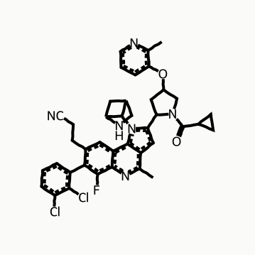 Cc1ncccc1OC1CC(c2cc3c(C)nc4c(F)c(-c5cccc(Cl)c5Cl)c(CCC#N)cc4c3n2C2C3CNC2C3)N(C(=O)C2CC2)C1